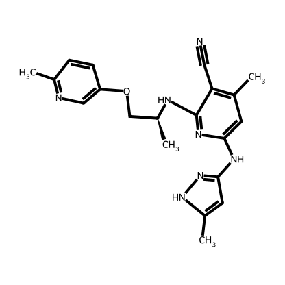 Cc1ccc(OC[C@H](C)Nc2nc(Nc3cc(C)[nH]n3)cc(C)c2C#N)cn1